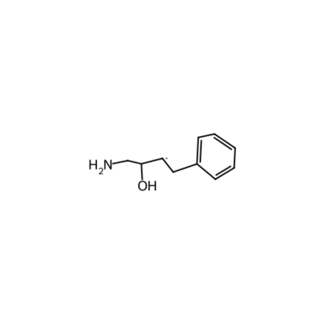 NCC(O)[CH]Cc1ccccc1